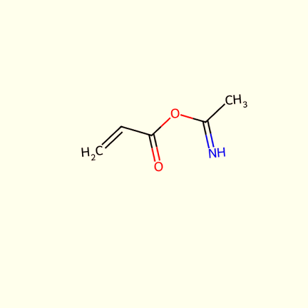 C=CC(=O)OC(C)=N